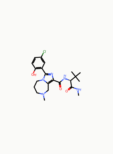 CNC(=O)[C@@H](NC(=O)c1nc(-c2cc(Cl)ccc2O)n2c1CN(C)CCC2)C(C)(C)C